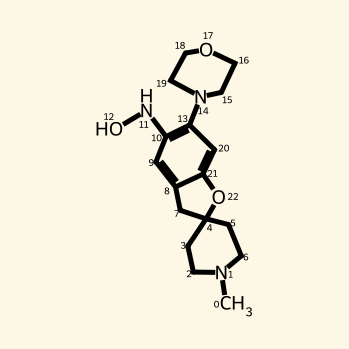 CN1CCC2(CC1)Cc1cc(NO)c(N3CCOCC3)cc1O2